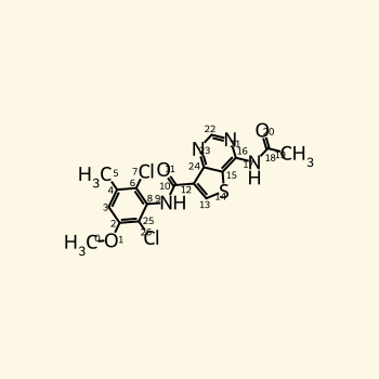 COc1cc(C)c(Cl)c(NC(=O)c2csc3c(NC(C)=O)ncnc23)c1Cl